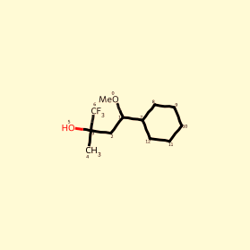 COC(CC(C)(O)C(F)(F)F)C1CCCCC1